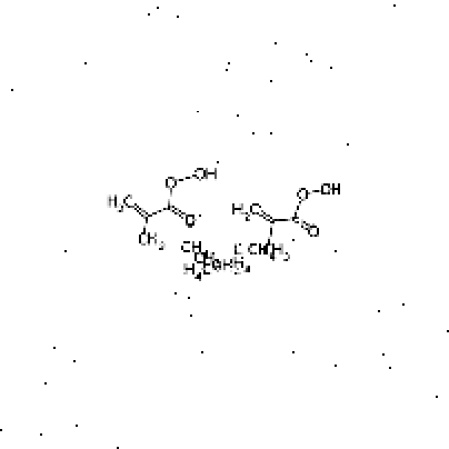 C.C.C.C.C.C.C=C(C)C(=O)OO.C=C(C)C(=O)OO